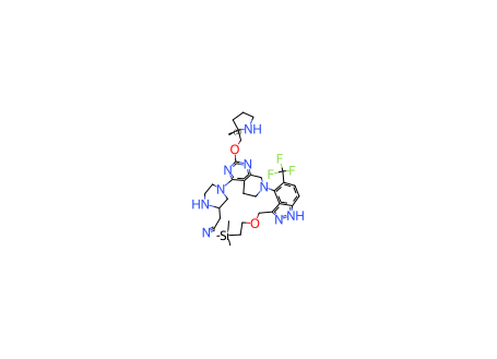 C[C@@]1(COc2nc3c(c(N4CCNC(CC#N)C4)n2)CCN(c2c(C(F)(F)F)ccc4[nH]nc(COCC[Si](C)(C)C)c24)C3)CCCN1